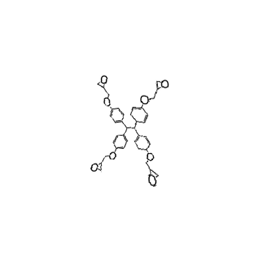 C1=CC(C(C2=CCC(OCC3CO3)C=C2)C(c2ccc(OCC3CO3)cc2)c2ccc(OCC3CO3)cc2)CC=C1OCC1CO1